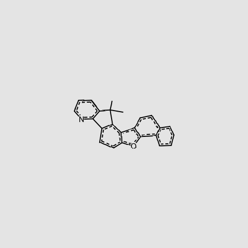 CC1(C)c2cccnc2-c2ccc3oc4c5ccccc5ccc4c3c21